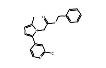 Cc1ccc(-c2ccnc(Cl)c2)n1CC(=O)OCc1ccccc1